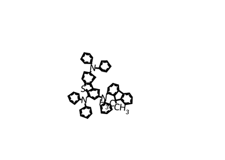 CC1(C)c2ccccc2-c2cccc(N(c3ccccc3)c3cc(N(c4ccccc4)c4ccccc4)c4sc5ccc(N(c6ccccc6)c6ccccc6)cc5c4c3)c21